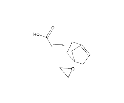 C1=C2CCC(C1)C2.C1CO1.C=CC(=O)O